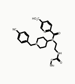 CC(C)(C)OC(=O)NCCN(C(=O)c1ccc(C(=O)O)cn1)C1CCN(Cc2ccc(C#N)cc2)CC1